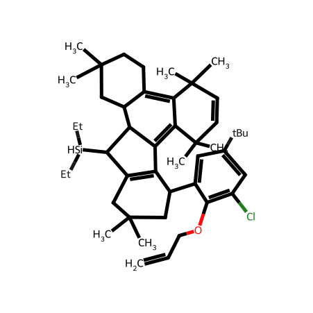 C=CCOc1c(Cl)cc(C(C)(C)C)cc1C1CC(C)(C)CC2=C1C1=C3C(=C4CCC(C)(C)CC4C1C2[SiH](CC)CC)C(C)(C)C=CC3(C)C